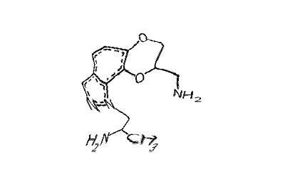 CC(N)Cn1ncc2ccc3c(c21)OC(CN)CO3